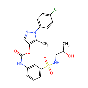 CC(O)CNS(=O)(=O)c1cccc(NC(=O)Oc2cnn(-c3ccc(Cl)cc3)c2C(F)(F)F)c1